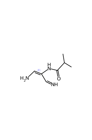 CC(C)C(=O)N/C(C=N)=C/N